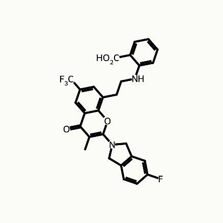 Cc1c(N2Cc3ccc(F)cc3C2)oc2c(CCNc3ccccc3C(=O)O)cc(C(F)(F)F)cc2c1=O